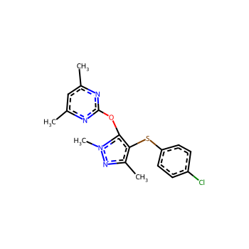 Cc1cc(C)nc(Oc2c(Sc3ccc(Cl)cc3)c(C)nn2C)n1